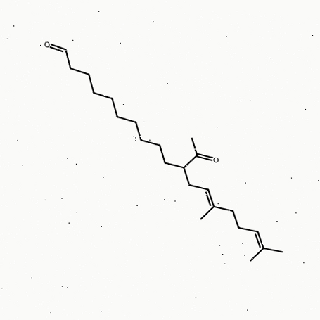 CC(=O)C(C/C=C(\C)CCC=C(C)C)CCCCCCCCCC=O